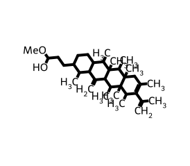 C=C(C)C1=C(C)CC2(C)C(C)C3(C)C(C)C4CCC(CCC(O)OC)C(C)C4C(=C)C3C(C)C2(C)C1C